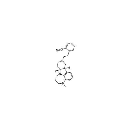 COc1ccccc1CCN1CC[C@@H]2[C@H](C1)c1cccc3c1N2CCCN3C